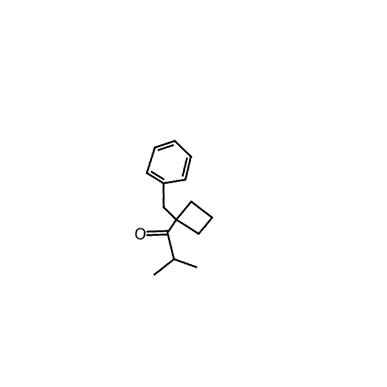 CC(C)C(=O)C1(Cc2ccccc2)CCC1